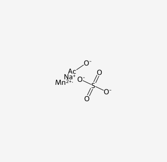 CC(=O)[O-].O=S(=O)([O-])[O-].[Mn+2].[Na+]